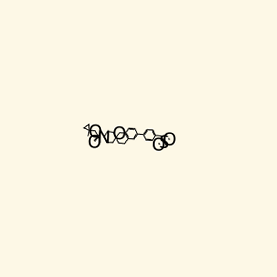 CC1(OC(=O)N2CCC3(CCc4cc(-c5ccc(CS(C)(=O)=O)cc5)ccc4O3)CC2)CC1